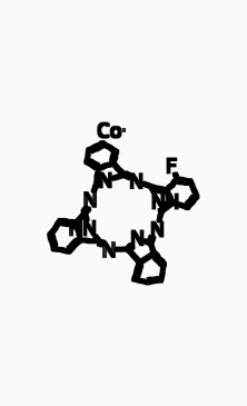 Fc1cccc2c3nc4nc(nc5[nH]c(nc6nc(nc([nH]3)c12)-c1ccccc1-6)c1ccccc51)-c1ccccc1-4.[Co]